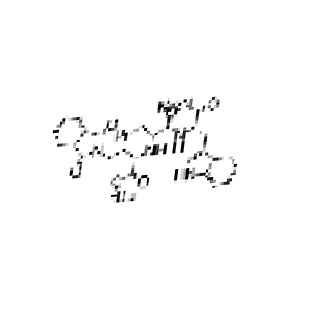 CNC(=O)[C@H](Cc1c[nH]c2ccccc12)NC(=O)[C@H](CC(C)C)NC(CCN1C(=O)c2ccccc2C1=O)C(=O)OC(C)(C)C